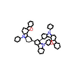 C1=C(c2cc(-c3ccc4c(c3)c3c5oc6ccccc6c5ccc3n4-c3ccccc3)c3c(c2)c2ccccc2n3-c2ccccc2)CCc2c1c1c3oc4ccccc4c3ccc1n2-c1ccccc1